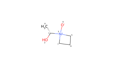 C[C@@H](O)[N+]1([O-])CCC1